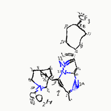 Cc1cc([C@]23C[C@H]2CCN(C(=O)O)C3)n2nc([C@H]3CC[C@H](C(F)(F)F)CC3)cc2n1